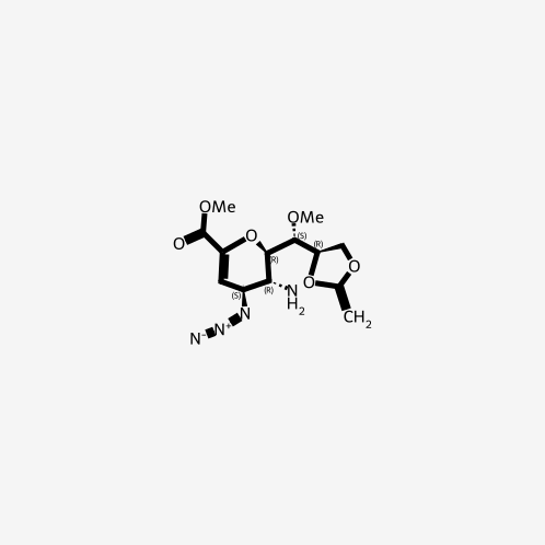 C=C1OC[C@H]([C@@H](OC)[C@@H]2OC(C(=O)OC)=C[C@H](N=[N+]=[N-])[C@H]2N)O1